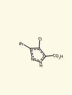 CC(C)c1n[nH]c(C(=O)O)c1Cl